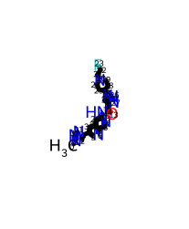 Cn1cc(-c2cnc3cnc(NC(=O)c4cn(C5CCN(CCF)CC5)nn4)cc3c2)nn1